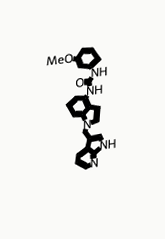 COc1cccc(NC(=O)Nc2cccc3c2ccn3Cc2c[nH]c3ncccc23)c1